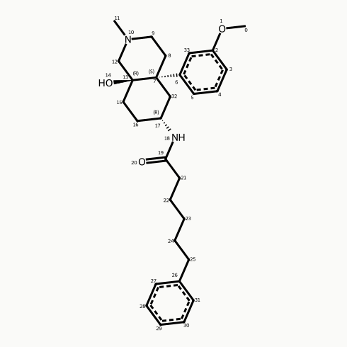 COc1cccc([C@@]23CCN(C)C[C@@]2(O)CC[C@@H](NC(=O)CCCCCc2ccccc2)C3)c1